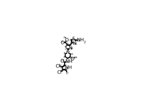 COC(=O)c1sc(N2CC[C@@H](NC(=O)c3[nH]c(C)c(Cl)c3Cl)[C@@H](OC)C2)nc1-c1csc(N)n1